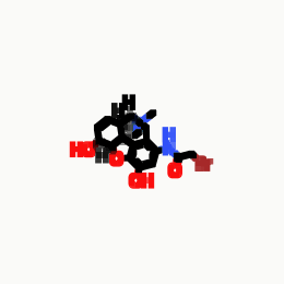 CN1CC[C@]23c4c5c(NC(=O)CBr)cc(O)c4O[C@H]2[C@@H](O)C=C[C@H]3[C@H]1C5